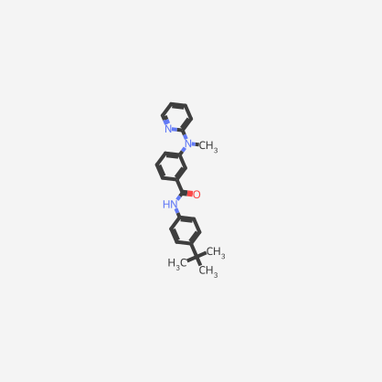 CN(c1cccc(C(=O)Nc2ccc(C(C)(C)C)cc2)c1)c1ccccn1